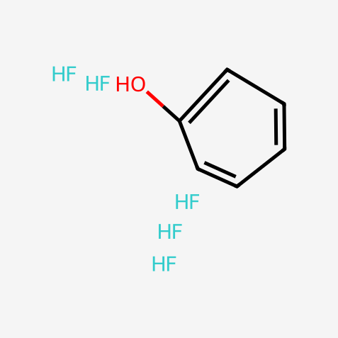 F.F.F.F.F.Oc1ccccc1